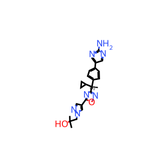 CC(C)(O)Cn1cc(-c2nc([C@@](C)(c3ccc(-c4cnc(N)nc4)cc3)C3CC3)no2)cn1